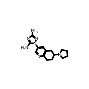 Nc1nc(N)n(-c2cnc3c(c2)CC(N2CCCC2)CC3)n1